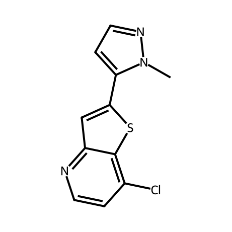 Cn1nccc1-c1cc2nccc(Cl)c2s1